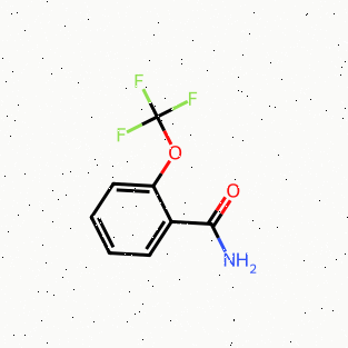 NC(=O)c1ccccc1OC(F)(F)F